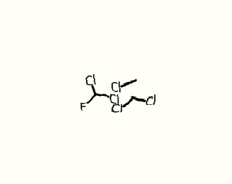 CCl.ClCCl.FC(Cl)Cl